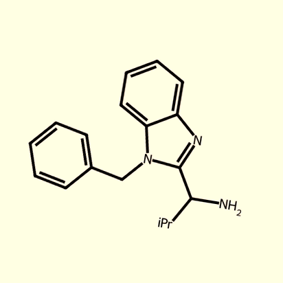 CC(C)C(N)c1nc2ccccc2n1Cc1ccccc1